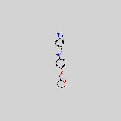 Nc1ccc(CNc2ccc(OCC3CCCCO3)cc2)cc1